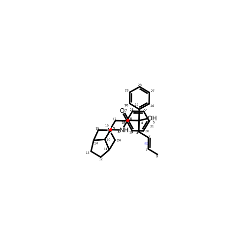 C/C=C/CC(O)(C(=O)NCC1C2CCC1CN(Cc1ccccc1)C2)c1ccccc1